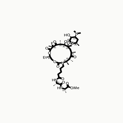 CC[C@@H]1COC(=O)N(CCCCC(=O)N[C@@H](C)C(=O)N[C@@H](C)C(=O)OC)[C@H](C)[C@@H](C)C(=O)[C@H](C)C[C@](C)(OC)[C@H](O[C@H]2O[C@H](C)C[C@H](N(C)C)[C@H]2O)[C@@H](C)C(=O)[C@@](C)(F)C(=O)O1